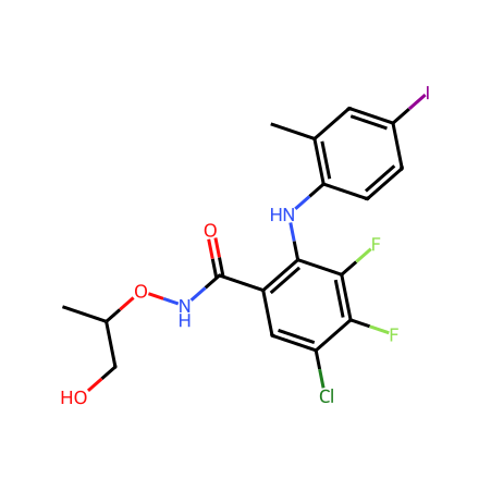 Cc1cc(I)ccc1Nc1c(C(=O)NOC(C)CO)cc(Cl)c(F)c1F